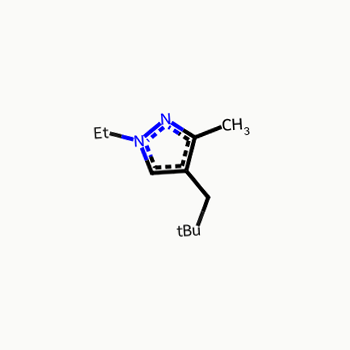 CCn1cc(CC(C)(C)C)c(C)n1